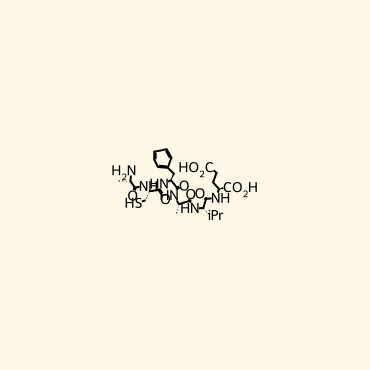 CC(C)[C@H](NC(=O)[C@H](C)NC(=O)[C@H](Cc1ccccc1)NC(=O)[C@H](CS)NC(=O)[C@H](C)N)C(=O)N[C@@H](CCC(=O)O)C(=O)O